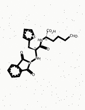 O=CCCC[C@H](NC(=O)[C@H](Cc1cccs1)NN1C(=O)c2ccccc2C1=O)C(=O)O